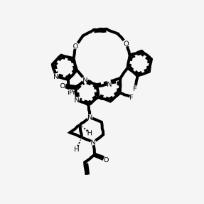 C=CC(=O)N1CCN(c2nc(=O)n3c4nc(c(F)cc24)-c2c(F)cccc2OC/C=C\COc2ccnc(C(C)C)c2-3)[C@@H]2C[C@@H]21